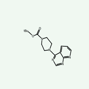 CC(C)(C)OC(=O)N1CCN(c2ncnc3ncccc23)CC1